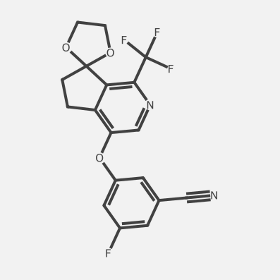 N#Cc1cc(F)cc(Oc2cnc(C(F)(F)F)c3c2CCC32OCCO2)c1